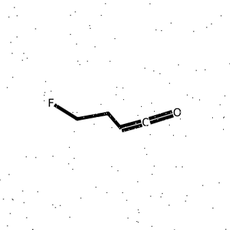 O=C=CCCF